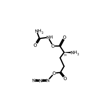 [N-]=[N+]=NOC(=O)CC[C@H](N)C(=O)ONC(N)=O